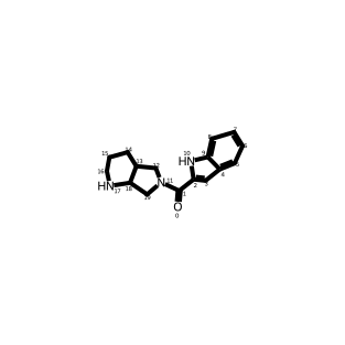 O=C(c1cc2ccccc2[nH]1)N1CC2CCCNC2C1